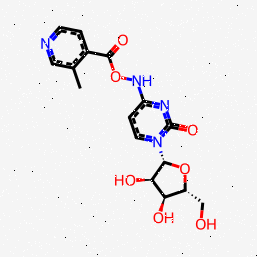 Cc1cnccc1C(=O)ONc1ccn([C@@H]2O[C@H](CO)[C@@H](O)[C@H]2O)c(=O)n1